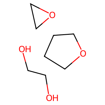 C1CCOC1.C1CO1.OCCO